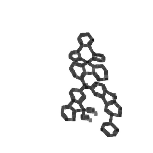 CC1(C)c2ccccc2-c2ccc(N(c3ccc4sc5ccc(-c6ccccc6)cc5c4c3)c3cccc4c3-c3ccccc3C43c4ccccc4-c4ccccc4-c4ccccc43)cc21